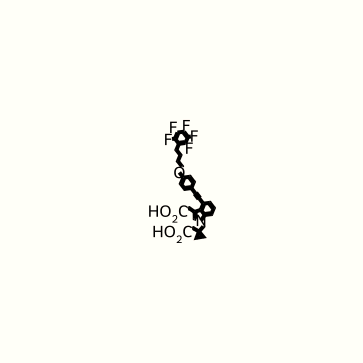 O=C(O)Cc1cn(CC2(CC(=O)O)CC2)c2cccc(C#Cc3ccc(OCCCCc4c(F)c(F)c(F)c(F)c4F)cc3)c12